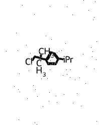 CC(C)c1ccc(C(C)(C)CCl)cc1